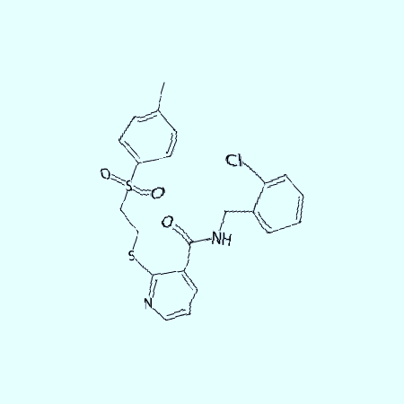 Cc1ccc(S(=O)(=O)CCSc2ncccc2C(=O)NCc2ccccc2Cl)cc1